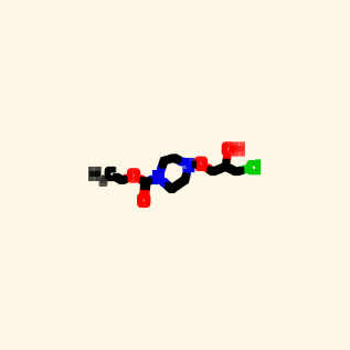 CCOC(=O)N1CCN(OCC(O)CCl)CC1